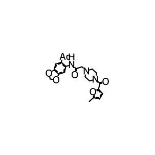 CC(=O)c1cc2c(cc1NC(=O)CN1CCN(C(=O)c3ccc(C)o3)CC1)OCO2